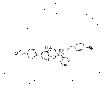 N#Cc1ccc(CCN[C@H](c2ccccc2)[C@@H]2CNc3cc(-c4ccc(C5COC5)cc4)cnc3O2)cc1